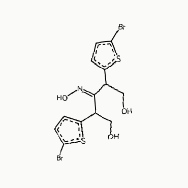 OCC(C(=NO)C(CO)c1ccc(Br)s1)c1ccc(Br)s1